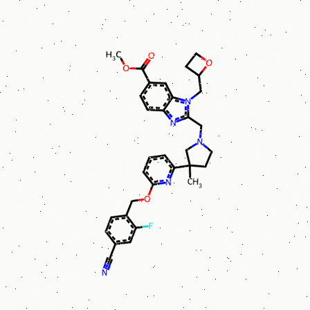 COC(=O)c1ccc2nc(CN3CCC(C)(c4cccc(OCc5ccc(C#N)cc5F)n4)C3)n(CC3CCO3)c2c1